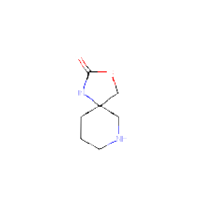 O=C1NC2(CCCNC2)CO1